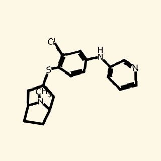 CN1C2CCC1CC(Sc1ccc(Nc3cccnc3)cc1Cl)C2